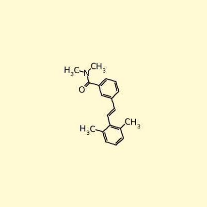 Cc1cccc(C)c1C=Cc1cccc(C(=O)N(C)C)c1